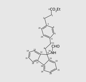 CCOC(=O)CCc1ccc(CCC2(NC=O)c3ccccc3-c3ccccc32)cc1